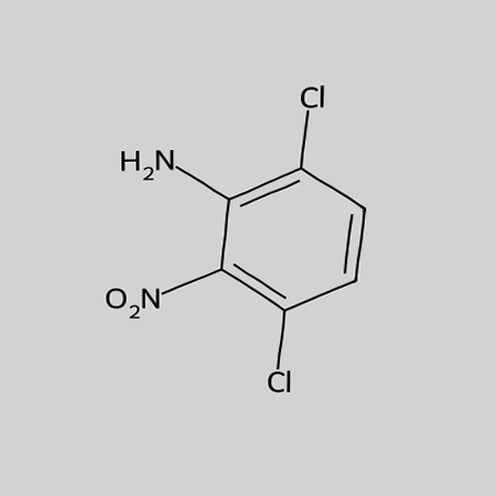 Nc1c(Cl)ccc(Cl)c1[N+](=O)[O-]